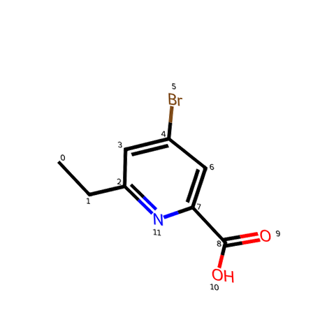 CCc1cc(Br)cc(C(=O)O)n1